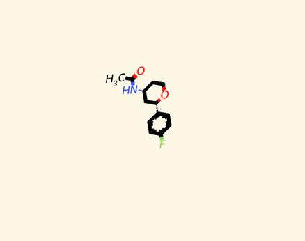 CC(=O)N[C@@H]1CCO[C@H](c2ccc(F)cc2)C1